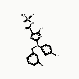 CS(=O)(=O)NC(=O)c1nc(N(Cc2cccc(Cl)c2)c2ccc(C#N)cc2)sc1Cl